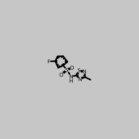 Cc1nsc(NS(=O)(=O)c2cccc(F)c2)n1